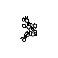 C=CC(=O)N1CCN(c2c(C#N)c(=O)n(-c3ccccc3C(C)C)c3cc(-c4ccn(C)c(=O)c4)c(Cl)cc23)[C@@H](C)C1